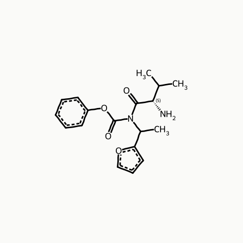 CC(C)[C@H](N)C(=O)N(C(=O)Oc1ccccc1)C(C)c1ccco1